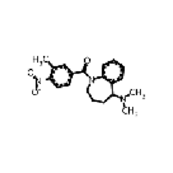 Cc1cc(C(=O)N2CCCC(N(C)C)c3ccccc32)ccc1[N+](=O)[O-]